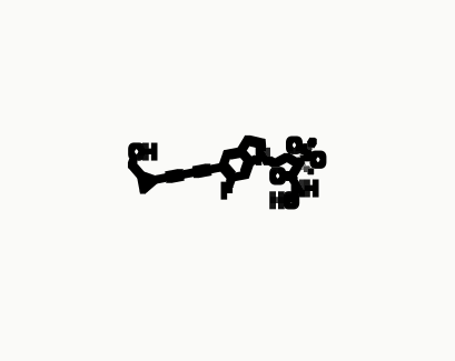 C[C@@](CCn1ccc2cc(C#CC#CC3CC3CO)c(F)cc21)(C(=O)NO)S(C)(=O)=O